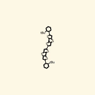 CC(C)(C)c1ccccc1-c1cc2sc3cc(-c4cc5sc6cc(-c7ccccc7C(C)(C)C)sc6c5s4)sc3c2s1